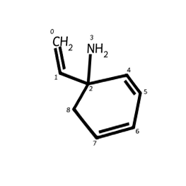 C=CC1(N)C=CC=CC1